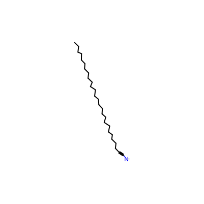 CCCCCCCCCCCCCCCCCCCCCCCCCC#C[N]